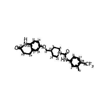 Cc1cc(NC(=O)N2CCC(COc3ccc4c(c3)CCC(=O)N4)CC2)ccc1C(F)(F)F